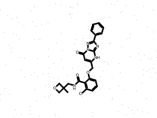 CC1(CNC(=O)c2c(Cl)cccc2OCc2cc(=O)n3nc(-c4ccccc4)nc3[nH]2)COC1